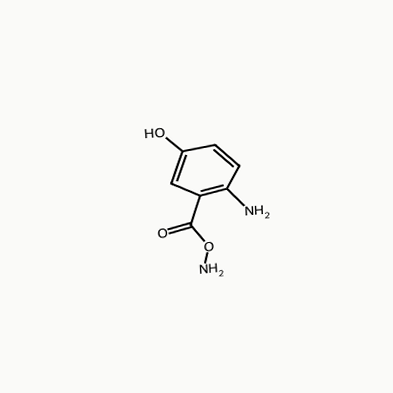 NOC(=O)c1cc(O)ccc1N